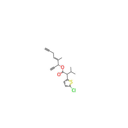 C#CC/C=C(\C)C(C#C)OC(=O)C(c1ccc(Cl)s1)C(C)C